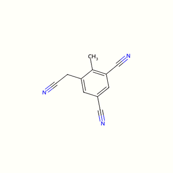 Cc1c(C#N)cc(C#N)cc1CC#N